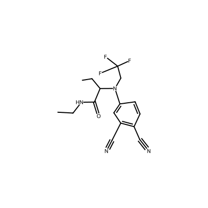 CCNC(=O)C(CC)N(CC(F)(F)F)c1ccc(C#N)c(C#N)c1